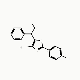 Cc1nc(-c2ccc(C(F)(F)F)cc2)sc1C(CO)c1ccccc1